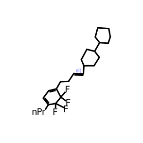 CCCC1=CC=C(CC/C=C/C2CCC(C3CCCCC3)CC2)C(F)(F)C1(F)F